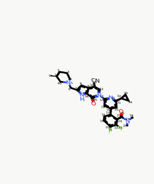 C[C@H]1CCCN(Cc2cc3c(C#N)cn(-c4cc(-c5ccc(F)c(F)c5C(=O)N(C)C)cc(C5CC5)n4)c(=O)c3[nH]2)C1